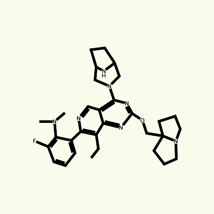 CCc1c(-c2cccc(F)c2N(C)C)ncc2c(N3CC4CCC(C3)N4)nc(OCC34CCCN3CCC4)nc12